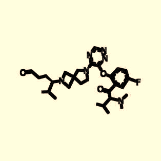 CC(C)C(C(=O)c1cc(F)ccc1Oc1nncnc1N1CCC2(C1)CN([C@H](CCC=O)C(C)C)C2)N(C)C